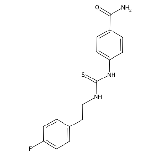 NC(=O)c1ccc(NC(=S)NCCc2ccc(F)cc2)cc1